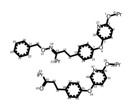 CC(C)Oc1ccc(Oc2ccc(CC/C(=N/OCc3ccccc3)C(C)C)cc2)cn1.CC(C)Oc1ccc(Oc2ccc(CCC(=O)C(C)C)cc2)cn1